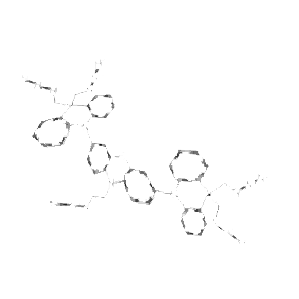 [N-]=[N+]=NCCN1c2ccc(N3c4ccccc4C(CN=[N+]=[N-])(CN=[N+]=[N-])c4ccccc43)cc2Sc2cc(N3c4ccccc4C(CN=[N+]=[N-])(CN=[N+]=[N-])c4ccccc43)ccc21